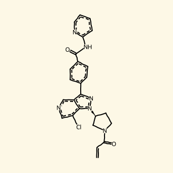 C=CC(=O)N1CC[C@H](n2nc(-c3ccc(C(=O)Nc4ccccn4)cc3)c3cncc(Cl)c32)C1